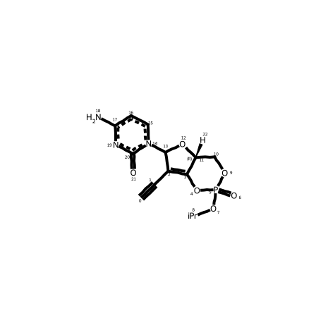 C#CC1=C2OP(=O)(OC(C)C)OC[C@H]2OC1n1ccc(N)nc1=O